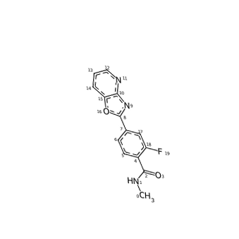 CNC(=O)c1ccc(-c2nc3ncccc3o2)cc1F